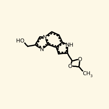 CC1OC(c2cc3c(ccn4cc(CO)nc34)[nH]2)O1